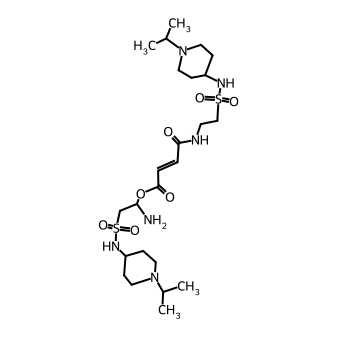 CC(C)N1CCC(NS(=O)(=O)CCNC(=O)/C=C/C(=O)OC(N)CS(=O)(=O)NC2CCN(C(C)C)CC2)CC1